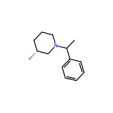 CC(c1ccccc1)N1CCC[C@@H](C)C1